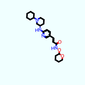 O=C(/C=C/c1ccc(N[C@@H]2CCCN(C3CCCCC3)C2)nc1)NOC1CCCCO1